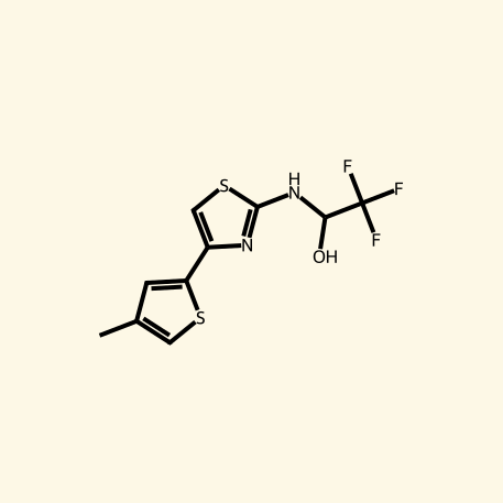 Cc1csc(-c2csc(NC(O)C(F)(F)F)n2)c1